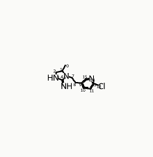 CC1CNC(=N)N1CCc1ccc(Cl)nc1